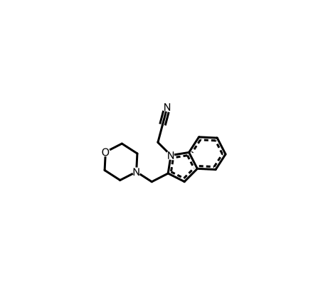 N#CCn1c(CN2CCOCC2)cc2ccccc21